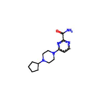 NC(=O)c1n[c]cc(N2CCN(C3CCCC3)CC2)n1